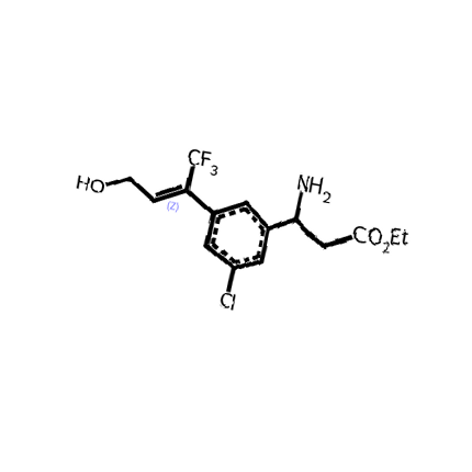 CCOC(=O)CC(N)c1cc(Cl)cc(/C(=C/CO)C(F)(F)F)c1